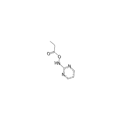 CCC(=O)ONc1ncccn1